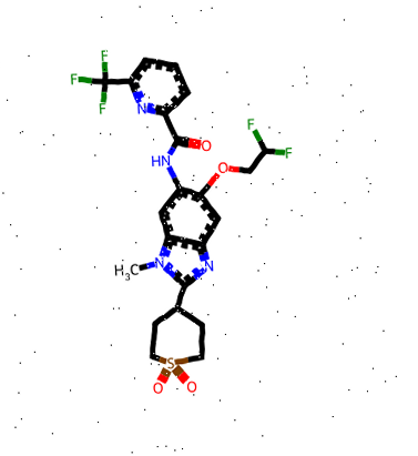 Cn1c(C2CCS(=O)(=O)CC2)nc2cc(OCC(F)F)c(NC(=O)c3cccc(C(F)(F)F)n3)cc21